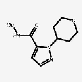 CC(C)(C)NC(=O)c1ccnn1C1CCOCC1